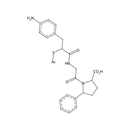 CC(=O)SC(Cc1ccc(N)cc1)C(=O)NCC(=O)N1C(C(=O)O)CCC1c1ccccc1